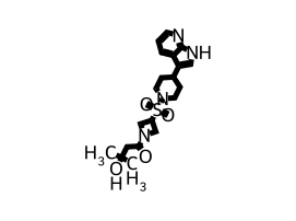 CC(C)(O)CC(=O)N1CC(S(=O)(=O)N2CCC(c3c[nH]c4ncccc34)CC2)C1